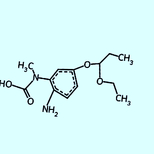 CCOC(CC)Oc1ccc(N)c(N(C)C(=O)O)c1